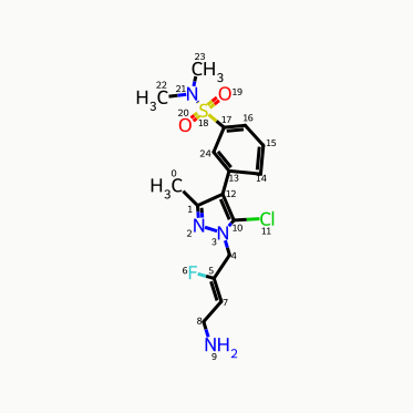 Cc1nn(CC(F)=CCN)c(Cl)c1-c1cccc(S(=O)(=O)N(C)C)c1